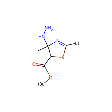 CCC1=NC(C)(NN)C(C(=O)OC(C)(C)C)S1